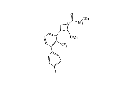 COC1C(c2cccc(-c3ccc(I)cc3)c2C(F)(F)F)CN1C(=O)NC(C)(C)C